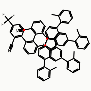 Cc1ccccc1-c1ccc2c(c1)c1cc(-c3ccccc3C)ccc1n2-c1cccc(C#N)c1-c1c(-c2ccc(C(F)(F)F)cc2C#N)cccc1-n1c2ccc(-c3ccccc3C)cc2c2cc(-c3ccccc3C)ccc21